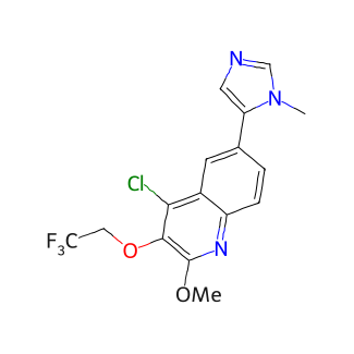 COc1nc2ccc(-c3cncn3C)cc2c(Cl)c1OCC(F)(F)F